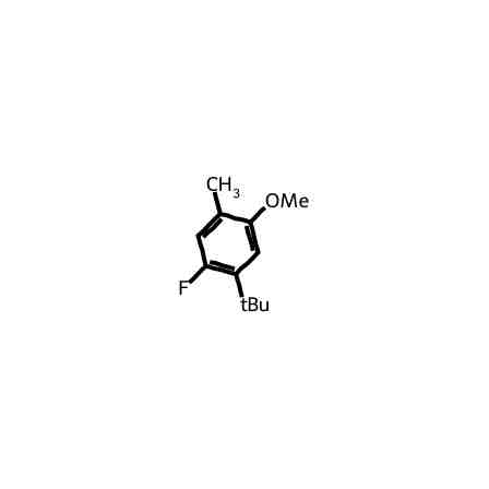 COc1cc(C(C)(C)C)c(F)cc1C